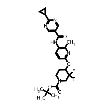 Cc1nc(OC2CCN(C(=O)OC(C)(C)C)CC2(F)F)ccc1NC(=O)c1cnc(C2CC2)nc1